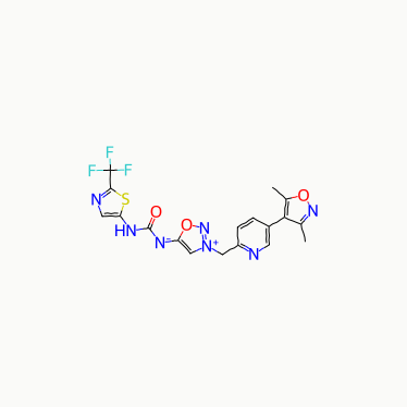 Cc1noc(C)c1-c1ccc(C[n+]2cc([N-]C(=O)Nc3cnc(C(F)(F)F)s3)on2)nc1